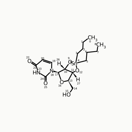 CCC[CH2][Sn]1([CH2]CCC)[O][C@@H]2[C@H]([O]1)[C@@H](CO)O[C@H]2n1ccc(=O)[nH]c1=O